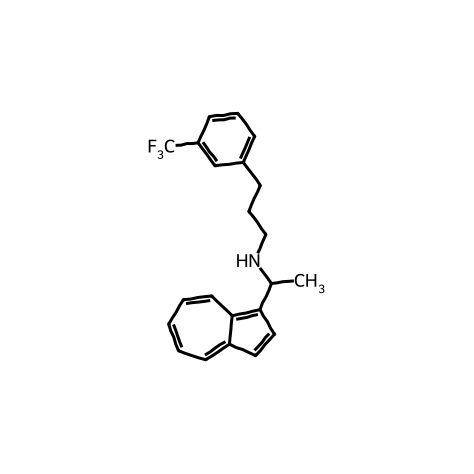 CC(NCCCc1cccc(C(F)(F)F)c1)c1ccc2cccccc1-2